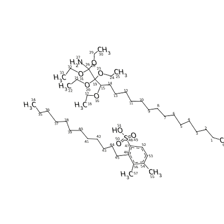 CCCCCCCCCCCCCCCC(OCC)C(OCC)(OCC)C(N)(OCC)OCC.CCCCCCCCCCCCc1c(S(=O)(=O)O)ccc(C)c1C